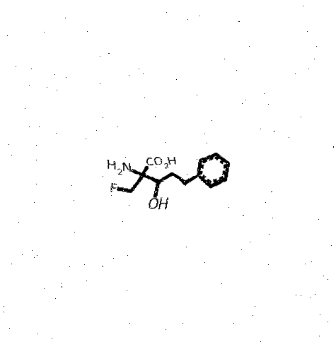 NC(CF)(C(=O)O)C(O)CCc1ccccc1